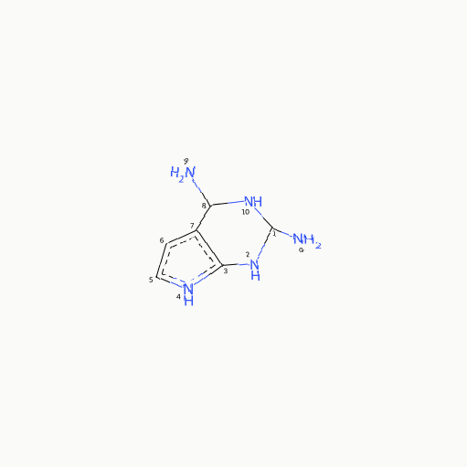 NC1Nc2[nH]ccc2C(N)N1